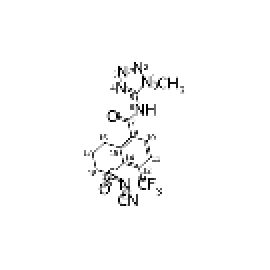 Cn1nnnc1NC(=O)c1ccc(C(F)(F)F)c2c1CCCS2(=O)=NC#N